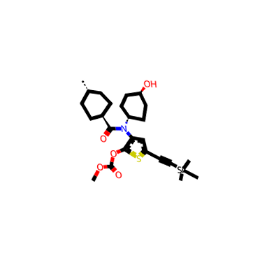 COC(=O)Oc1sc(C#C[Si](C)(C)C)cc1N(C(=O)[C@H]1CC[C@H](C)CC1)[C@H]1CC[C@H](O)CC1